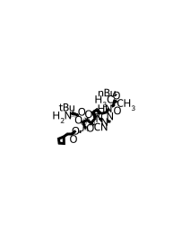 CCCCOC(C)(C)C(=O)Nc1ncnn2c([C@]3(C#N)O[C@H](COC(=O)CC4CCC4)[C@@H](OC(=O)[C@@H](N)C(C)(C)C)[C@H]3O)ccc12